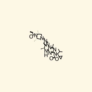 C=CC(=O)N1[C@H](C)CN(Cn2cnc([C@H](C)Nc3nc(C)nc(N4C(=O)OC5(CC5)C4C(C)C)n3)c2)C[C@@H]1C